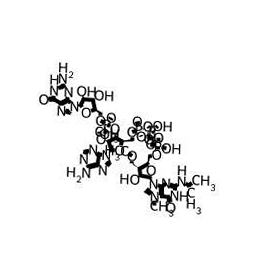 COC[C@H]1[C@@H](O)[C@H](n2c[n+](C)c3c(=O)[nH]c(NC(C)C)nc32)O[C@@H]1COP(=O)(O)OP(=O)(O)OP(=O)(O)OC[C@H]1O[C@@H](n2cnc3c(N)ncnc32)[C@H](OC)[C@@H]1OP(=O)(O)OC[C@H]1O[C@@H](n2cnc3c(=O)[nH]c(N)nc32)[C@H](O)[C@@H]1O